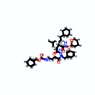 CC(C)C[C@@H](C(=O)NN(Cc1ccccc1)C(=O)CCCNC(=O)OCc1ccccc1)[C@H](CCCC1CCCCC1)C(=O)NOC1CCCCO1